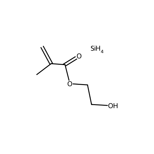 C=C(C)C(=O)OCCO.[SiH4]